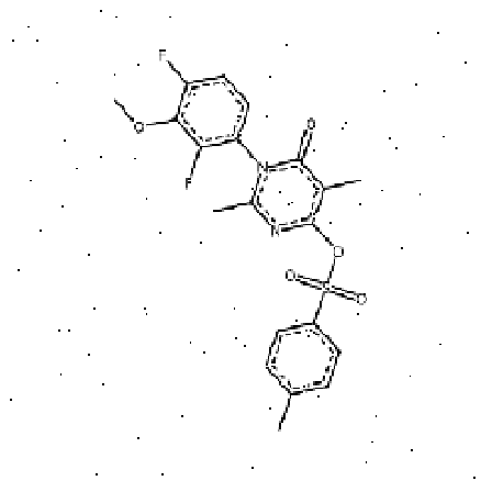 COc1c(F)ccc(-n2c(C)nc(OS(=O)(=O)c3ccc(C)cc3)c(C)c2=O)c1F